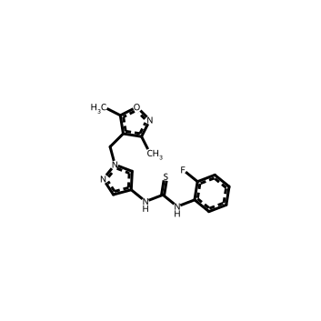 Cc1noc(C)c1Cn1cc(NC(=S)Nc2ccccc2F)cn1